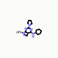 CCCn1ncc2c(Nc3ccccc3)nc(-n3cccc3)nc21